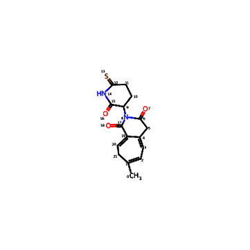 CC1=CC=C2CC(=O)N(C3CCC(=S)NC3=O)C(=O)C2=CC1